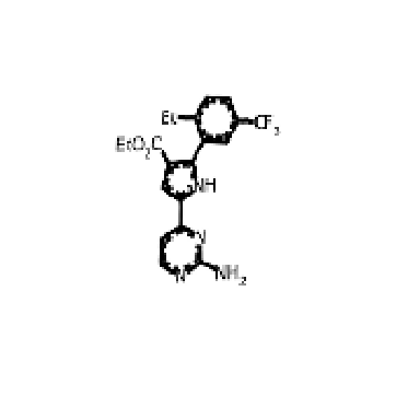 CCOC(=O)c1cc(-c2ccnc(N)n2)[nH]c1-c1cc(C(F)(F)F)ccc1CC